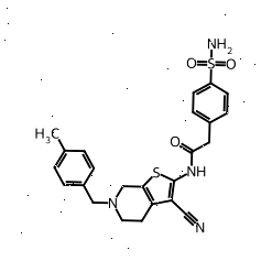 Cc1ccc(CN2CCc3c(sc(NC(=O)Cc4ccc(S(N)(=O)=O)cc4)c3C#N)C2)cc1